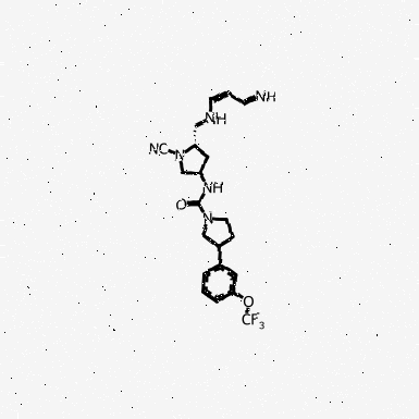 N#CN1CC(NC(=O)N2CCC(c3cccc(OC(F)(F)F)c3)C2)C[C@H]1CN/C=C\C=N